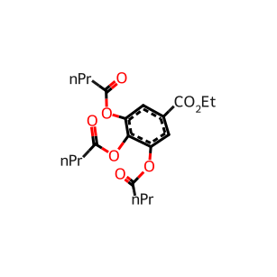 CCCC(=O)Oc1cc(C(=O)OCC)cc(OC(=O)CCC)c1OC(=O)CCC